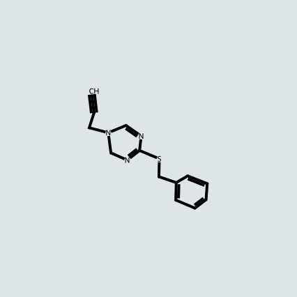 C#CCN1C=NC(SCc2ccccc2)=NC1